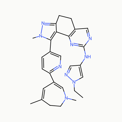 CCn1cc(Nc2ncc3c(n2)-c2c(nn(C)c2-c2ccc(C4=CN(C)CCC(C)=C4)nc2)CC3)cn1